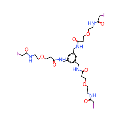 O=C(CI)NCCOCCC(=O)NCc1cc(CNC(=O)CCOCCNC(=O)CI)cc(CNC(=O)CCOCCNC(=O)CI)c1